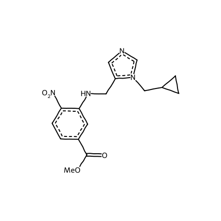 COC(=O)c1ccc([N+](=O)[O-])c(NCc2cncn2CC2CC2)c1